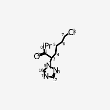 CC(C)C(=O)C(CCCCCl)n1cncn1